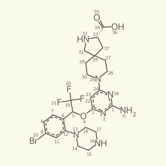 Nc1nc(OC(c2ccc(Br)cc2N2CCNCC2)C(F)(F)F)cc(N2CCC3(CC2)CN[C@H](C(=O)O)C3)n1